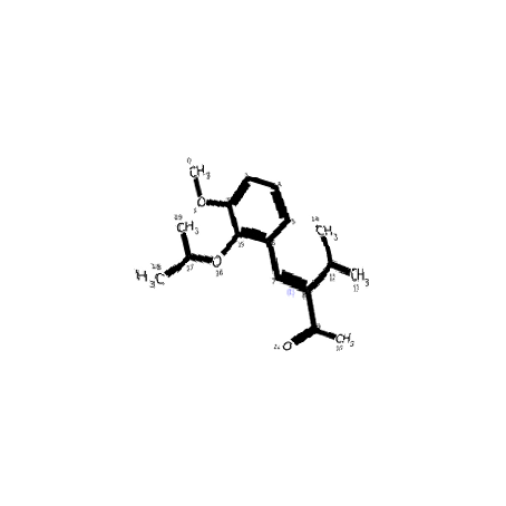 COc1cccc(/C=C(/C(C)=O)C(C)C)c1OC(C)C